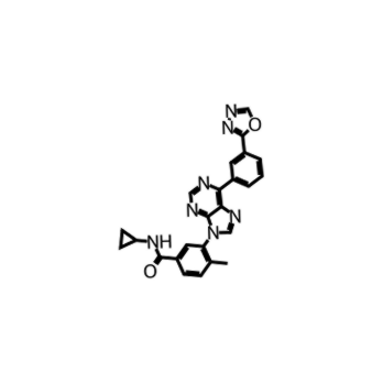 Cc1ccc(C(=O)NC2CC2)cc1-n1cnc2c(-c3cccc(-c4nnco4)c3)ncnc21